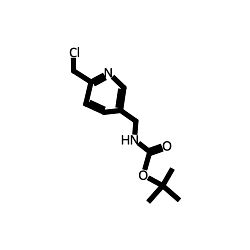 CC(C)(C)OC(=O)NCc1ccc(CCl)nc1